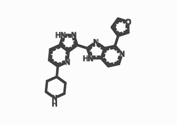 c1cc2[nH]c(-c3n[nH]c4ccc(C5CCNCC5)nc34)nc2c(-c2ccoc2)n1